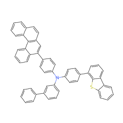 c1ccc(-c2cccc(N(c3ccc(-c4cc5ccc6ccccc6c5c5ccccc45)cc3)c3ccc(-c4cccc5c4sc4ccccc45)cc3)c2)cc1